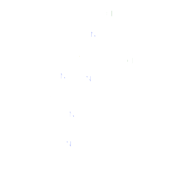 COc1nc(Sc2cc(Cl)cc(Cl)n2)ncc1N1CCN(C)CC1